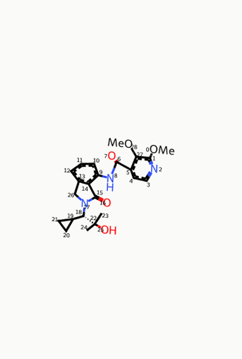 COc1nccc(C(=O)Nc2cccc3c2C(=O)N([C@@H](C2CC2)C(C)(C)O)C3)c1OC